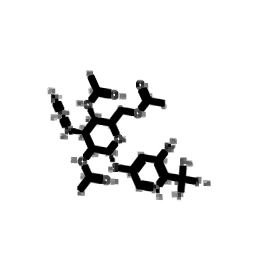 CC(=O)OCC1O[C@H](Sc2cnc(C(F)(F)F)c(Br)c2)C(OC(C)=O)[C@@H](N=[N+]=[N-])[C@H]1OC(C)=O